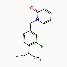 CC(C)c1ccc(Cn2ccccc2=O)cc1F